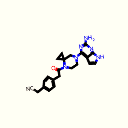 N#CCc1ccc(CC(=O)N2CCN(c3nc(N)nc4[nH]ccc34)CC23CC3)cc1